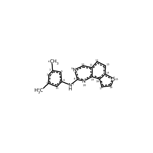 Cc1cc(C)cc(Nc2ncc3ccc4sccc4c3n2)c1